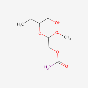 CCC(CO)OC(COC(=O)P)OC